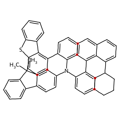 CC1(C)c2ccccc2-c2ccc(N(c3ccccc3-c3cccc4cccc(C5CCCCC5)c34)c3ccccc3-c3cccc4sc5ccccc5c34)cc21